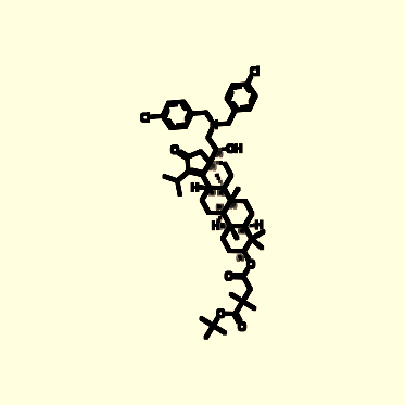 CC(C)C1=C2[C@H]3CC[C@@H]4[C@@]5(C)CC[C@H](OC(=O)CC(C)(C)C(=O)OC(C)(C)C)C(C)(C)[C@@H]5CC[C@@]4(C)[C@]3(C)CC[C@@]2([C@@H](O)CN(Cc2ccc(Cl)cc2)Cc2ccc(Cl)cc2)CC1=O